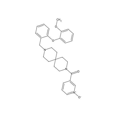 COc1ccccc1Oc1ccccc1CN1CCC2(CC1)CCN(C(=O)c1ccc[n+]([O-])c1)CC2